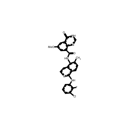 COc1cc(C(=O)Nc2c(C)ccc3c(Nc4cccc(Cl)c4F)nccc23)c2nc[nH]c(=O)c2c1